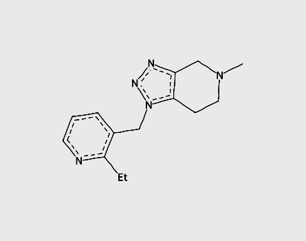 CCc1ncccc1Cn1nnc2c1CCN(C)C2